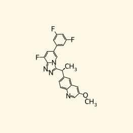 COc1cnc2ccc([C@H](C)c3nnc4c(F)cc(-c5cc(F)cc(F)c5)cn34)cc2c1